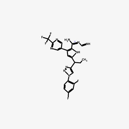 CCC(c1cn(-c2ccc(F)cc2F)nn1)c1cc(-c2cnc(C(F)(F)F)nc2)c(/C(N)=N\C=N)[nH]1